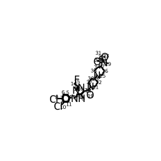 Cc1c(Nc2ccc(Cl)c(Cl)c2)nc(CF)nc1C(=O)N1CCC(N2CCC(N(C)S(C)(=O)=O)CC2)CC1